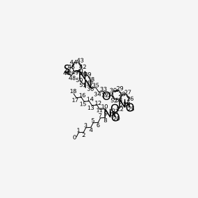 CCCCCCCCCN(CCCCCCCCC)C(=O)OCn1c(=O)ccc2ccc(OCCCCN3CCN(c4cccc5sccc45)CC3)cc21